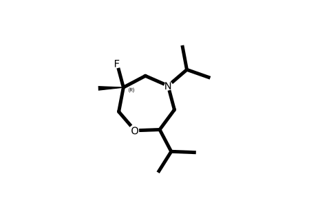 CC(C)C1CN(C(C)C)C[C@@](C)(F)CO1